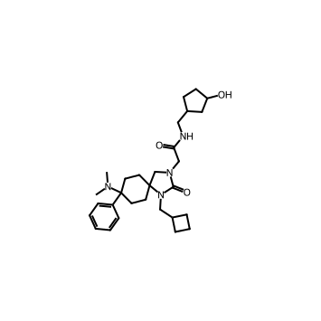 CN(C)C1(c2ccccc2)CCC2(CC1)CN(CC(=O)NCC1CCC(O)C1)C(=O)N2CC1CCC1